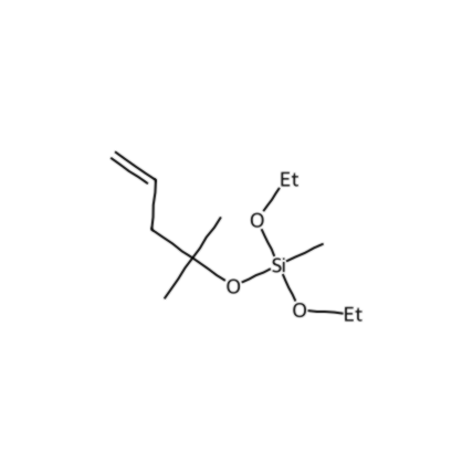 C=CCC(C)(C)O[Si](C)(OCC)OCC